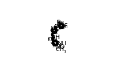 Cn1c(=O)[nH]c2cc(C(=O)NCc3ccc(Oc4ccc(F)cc4F)nc3)ccc21